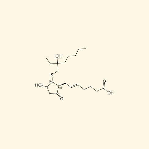 CCCCCC(O)(CC)CS[C@H]1C(O)CC(=O)[C@@H]1CC=CCCCC(=O)O